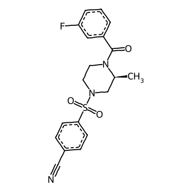 C[C@H]1CN(S(=O)(=O)c2ccc(C#N)cc2)CCN1C(=O)c1cccc(F)c1